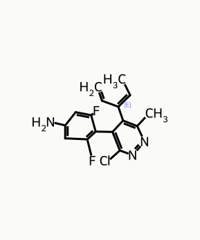 C=C/C(=C\C)c1c(C)nnc(Cl)c1-c1c(F)cc(N)cc1F